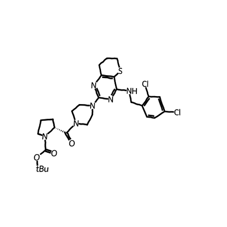 CC(C)(C)OC(=O)N1CCC[C@@H]1C(=O)N1CCN(c2nc3c(c(NCc4ccc(Cl)cc4Cl)n2)SCCC3)CC1